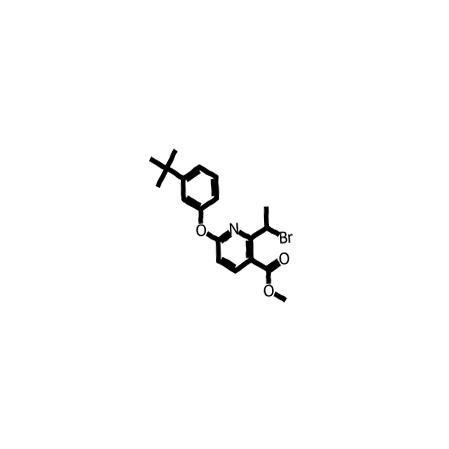 COC(=O)c1ccc(Oc2cccc(C(C)(C)C)c2)nc1C(C)Br